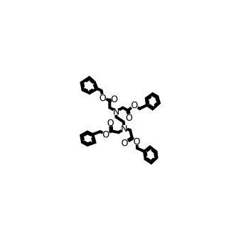 O=C(CN(CCN(CC(=O)OCc1ccccc1)CC(=O)OCc1ccccc1)CC(=O)OCc1ccccc1)OCc1ccccc1